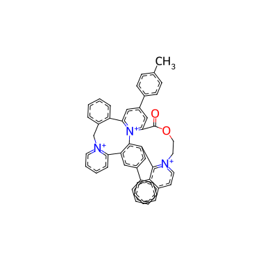 Cc1ccc(-c2cc3[n+]4c(c2)-c2ccccc2C[n+]2ccccc2-c2cc(-c5ccccc5)cc(c2-4)-c2c4ccccc4cc[n+]2CCOC3=O)cc1